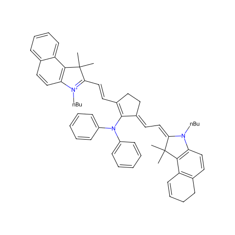 CCCCN1/C(=C/C=C2\CCC(/C=C/C3=[N+](CCCC)c4ccc5ccccc5c4C3(C)C)=C2N(c2ccccc2)c2ccccc2)C(C)(C)c2c1ccc1c2C=CCC1